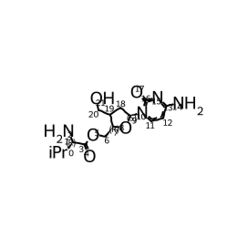 CC(C)[C@@H](N)C(=O)OC[C@@H]1O[C@H](n2ccc(N)nc2=O)CC1CO